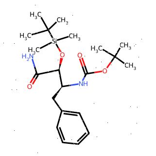 CC(C)(C)OC(=O)N[C@@H](Cc1ccccc1)[C@H](O[Si](C)(C)C(C)(C)C)C(N)=O